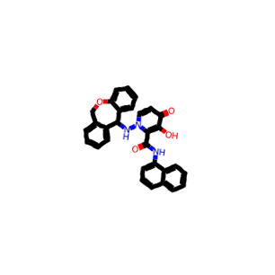 O=C(Nc1cccc2ccccc12)c1c(O)c(=O)ccn1NC1c2ccccc2COc2ccccc21